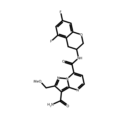 COCc1nn2c(C(=O)NC3COc4cc(F)cc(F)c4C3)ccnc2c1C(N)=O